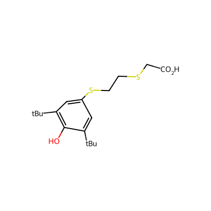 CC(C)(C)c1cc(SCCSCC(=O)O)cc(C(C)(C)C)c1O